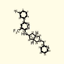 Fc1cccc(-c2cc(C(F)(F)F)c(NC3C[C@@H]4CN(Cc5ccccn5)C[C@@H]4C3)nn2)c1